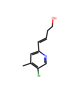 Cc1cc(C=CCCO)ncc1Br